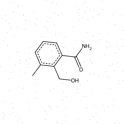 Cc1cccc(C(N)=O)c1CO